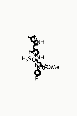 COSN(C)c1cc(C(=O)Nc2ccc(Cc3c[nH]c4ncc(C)cc34)c(F)n2)nn1-c1ccc(F)cc1.S